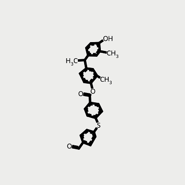 Cc1cc(C(C)c2ccc(OC(=O)c3ccc(Sc4ccc(C=O)cc4)cc3)c(C)c2)ccc1O